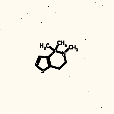 CN1CCc2sccc2C1(C)C